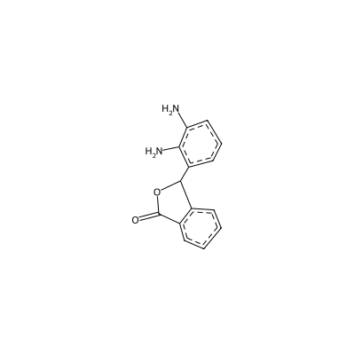 Nc1cccc(C2OC(=O)c3ccccc32)c1N